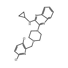 Clc1ccc(Cl)c(CN2CCN(c3nc4ccccc4nc3NC3CC3)CC2)n1